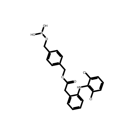 O=C(Cc1ccccc1Nc1c(Cl)cccc1Cl)OCc1ccc(CON(O)O)cc1